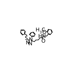 COc1ccccc1CNC(=O)CCCCc1nnc(SCc2ccccc2)n1-c1ccccc1